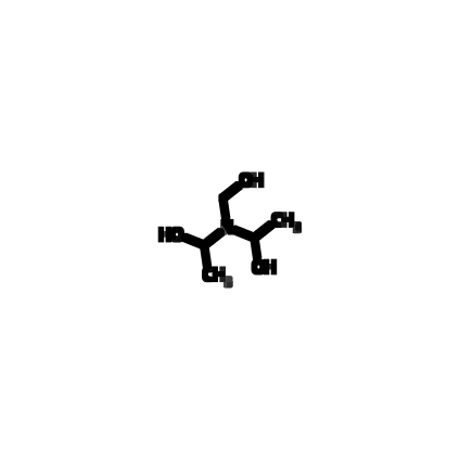 CC(O)N(CO)C(C)O